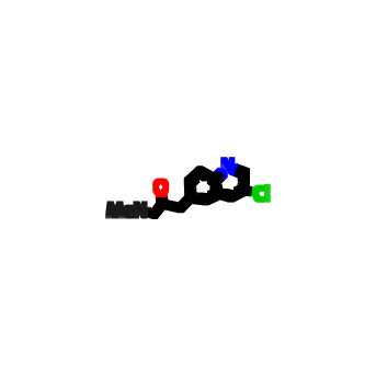 CNCC(=O)Cc1ccc2ncc(Cl)cc2c1